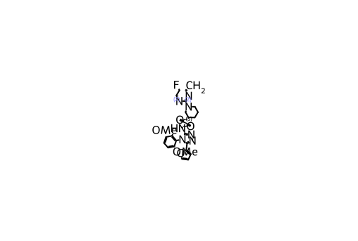 C=C/N=C(\N=C/CF)N1CCC[C@H](S(=O)(=O)Nc2nnc(-c3ccco3)n2-c2c(OC)cccc2OC)C1